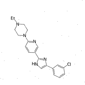 CCN1CCN(c2ccc(-c3nc(-c4cccc(Cl)c4)c[nH]3)cn2)CC1